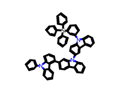 c1ccc(-n2c3ccccc3c3c(-c4ccc5c6ccccc6n(-c6ccc7c(c6)c6ccccc6n7-c6cccc([Si](c7ccccc7)(c7ccccc7)c7ccccc7)c6)c5c4)cccc32)cc1